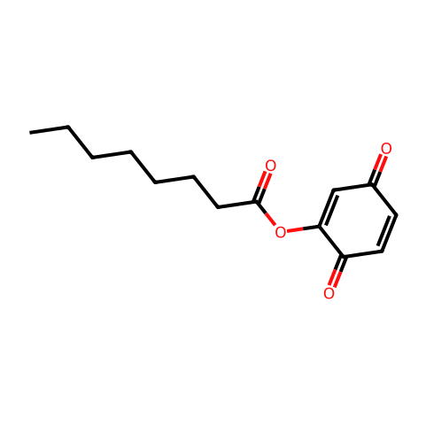 CCCCCCCC(=O)OC1=CC(=O)C=CC1=O